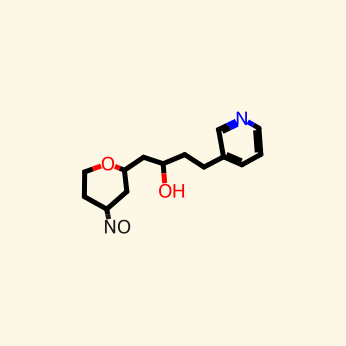 O=NC1CCOC(CC(O)CCc2cccnc2)C1